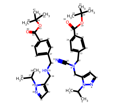 CC(C)n1nccc1CN(C#N)Cc1ccc(C(=O)OC(C)(C)C)cc1.CC(C)n1nccc1CNCc1ccc(C(=O)OC(C)(C)C)cc1